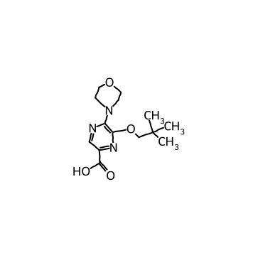 CC(C)(C)COc1nc(C(=O)O)cnc1N1CCOCC1